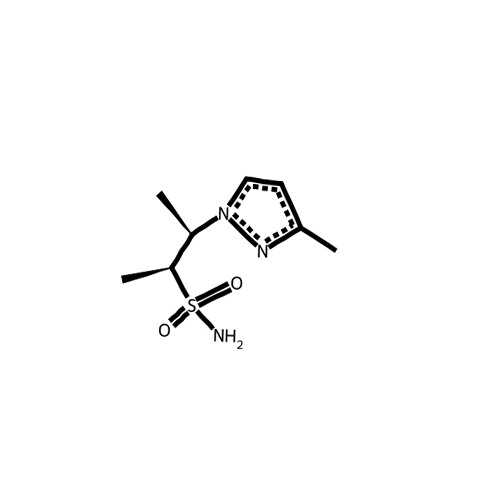 Cc1ccn([C@H](C)[C@H](C)S(N)(=O)=O)n1